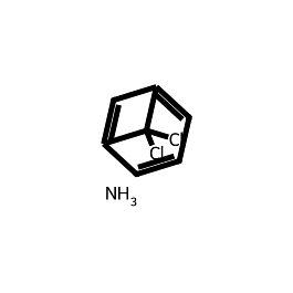 ClC1(Cl)c2cccc1c2.N